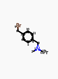 CC(C)N(C)Cc1ccc(CBr)cc1